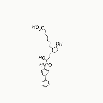 O=C(O)CCCCCC[C@@H]1[C@@H](CCC(O)C(=O)Nc2ccc(-c3ccccc3)cc2)CC[C@@H]1O